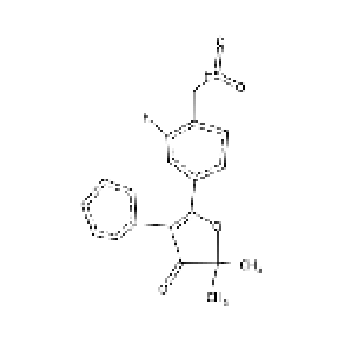 CC1(C)OC(c2ccc(C[SH](=O)=O)c(F)c2)=C(c2ccccc2)C1=O